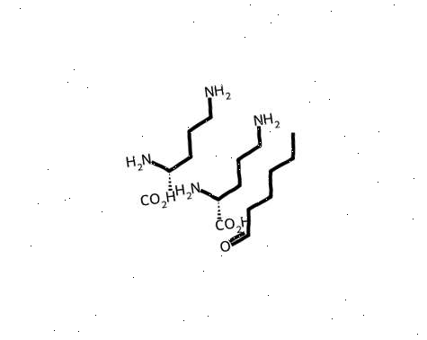 CCCCCC=O.NCCC[C@@H](N)C(=O)O.NCCC[C@@H](N)C(=O)O